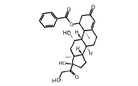 C[C@]12C[C@H](O)[C@H]3[C@@H](CCC4=CC(=O)CC(OC(=O)c5ccccc5)[C@@]43C)[C@@H]1CC[C@]2(O)C(=O)CO